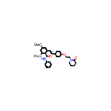 COc1cc(/C=C/c2ccc(OCCN3CCCCC3=O)cc2)c(C(=O)Nc2ccccc2)c(OC)c1